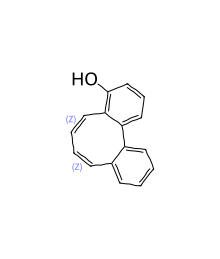 Oc1cccc2c1/C=C\C=C/c1ccccc1-2